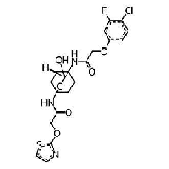 O=C(COc1nccs1)NC12CCC(NC(=O)COc3ccc(Cl)c(F)c3)(CC1)[C@@H](O)C2